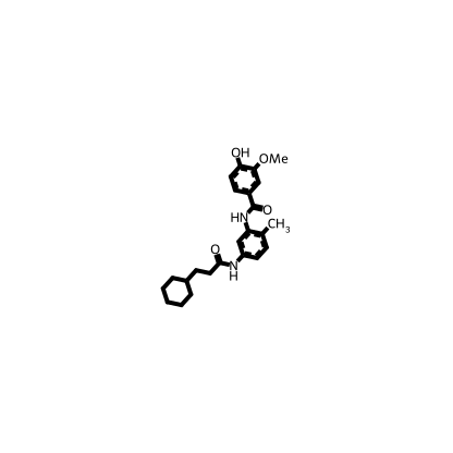 COc1cc(C(=O)Nc2cc(NC(=O)CCC3CCCCC3)ccc2C)ccc1O